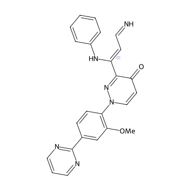 COc1cc(-c2ncccn2)ccc1-n1ccc(=O)c(/C(=C/C=N)Nc2ccccc2)n1